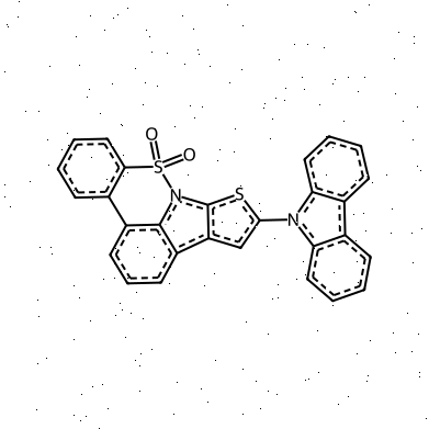 O=S1(=O)c2ccccc2-c2cccc3c4cc(-n5c6ccccc6c6ccccc65)sc4n1c23